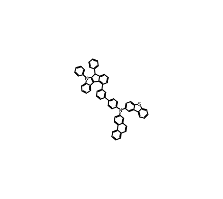 c1ccc(C2c3cccc(-c4cccc(-c5ccc(N(c6ccc7c(ccc8ccccc87)c6)c6ccc7sc8ccccc8c7c6)cc5)c4)c3-c3c2n(-c2ccccc2)c2ccccc32)cc1